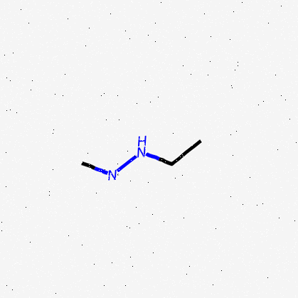 CCN[N]C